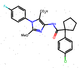 COc1nc(NC(=O)C2(c3ccc(Cl)cc3)CCCC2)c(C(=O)O)n1-c1ccc(F)cc1